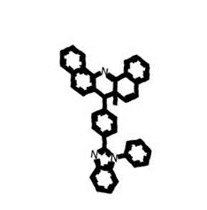 CC12C=Cc3ccccc3C1=Nc1c(ccc3ccccc13)C2c1ccc(-c2nc3ccccc3n2-c2ccccc2)cc1